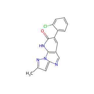 Cc1cc2ncc3cc(-c4ccccc4Cl)c(=O)[nH]c3n2n1